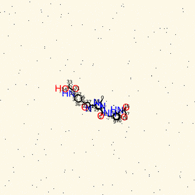 Cc1nc(C(=O)NCc2ccc3c(c2)NC(=O)CO3)cc(C2=NOC(C3CCC(NC(=O)C(C)O)CC3)C2)n1